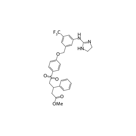 COC(=O)CC(CS(=O)(=O)c1ccc(OCc2cc(NC3=NCCN3)cc(C(F)(F)F)c2)cc1)c1ccccc1